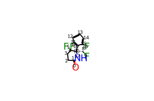 O=C1CCC(F)(F)[C@@](CF)(c2ccccc2F)N1